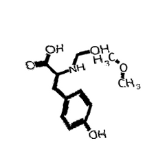 COC.O=C(O)C(Cc1ccc(O)cc1)NCO